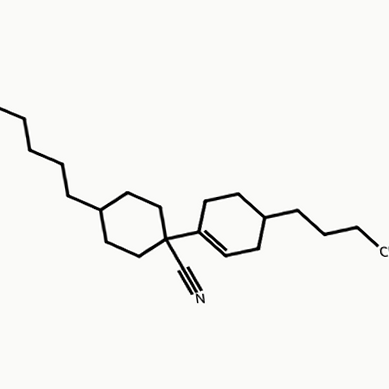 CCCCCC1CCC(C#N)(C2=CCC(CCCC)CC2)CC1